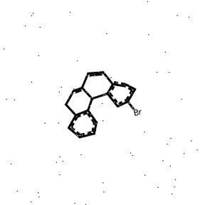 Brc1ccc2c(c1)C1C(=CCc3ccccc31)C=C2